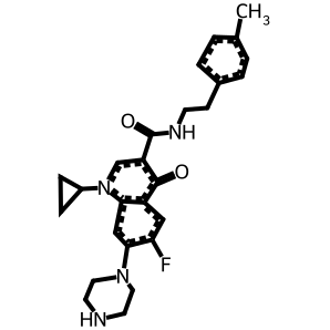 Cc1ccc(CCNC(=O)c2cn(C3CC3)c3cc(N4CCNCC4)c(F)cc3c2=O)cc1